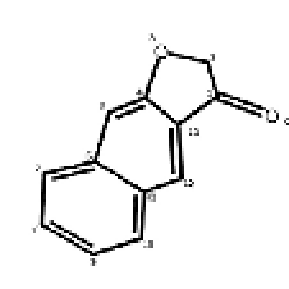 O=C1COc2cc3ccccc3cc21